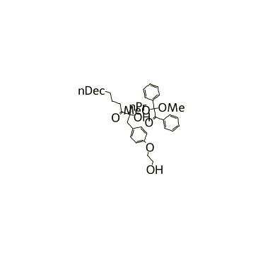 CCCCCCCCCCCCCC(=O)C(O)(CCC)Cc1ccc(OCCO)cc1.COC(OC)(C(=O)c1ccccc1)c1ccccc1